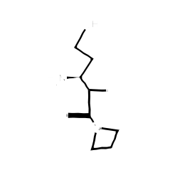 CCC[C@H](N)C(O)C(=O)N1CCC1